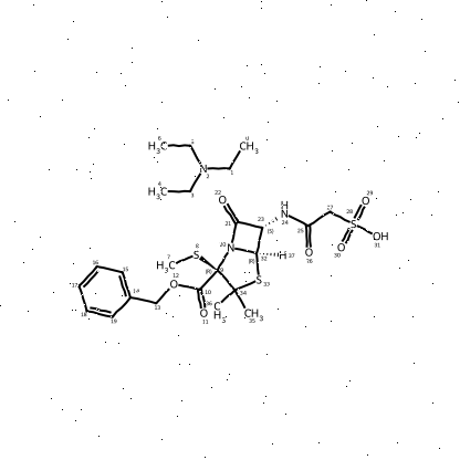 CCN(CC)CC.CS[C@@]1(C(=O)OCc2ccccc2)N2C(=O)[C@H](NC(=O)CS(=O)(=O)O)[C@H]2SC1(C)C